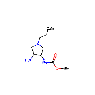 COCCN1C[C@@H](N)[C@H](NC(=O)OC(C)(C)C)C1